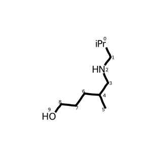 CC(C)CNCC(C)CCCO